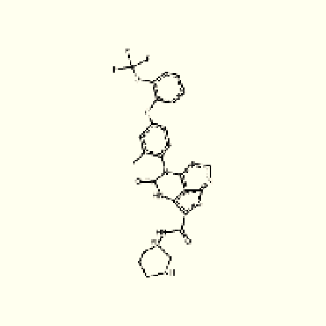 Cc1cc(Oc2ccccc2OC(F)(F)F)ccc1N1C(=O)Nc2c(C(=O)N[C@@H]3CCCNC3)sc3nccc1c23